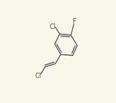 Fc1ccc(C=CCl)cc1Cl